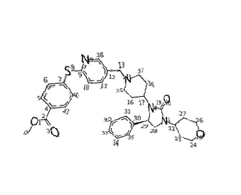 COC(=O)c1ccc(Sc2ccc(CN3CCC(N4C(=O)N(C5CCOCC5)C[C@H]4c4ccccc4)CC3)cn2)cc1